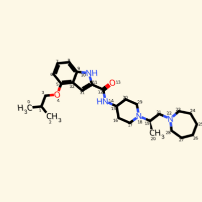 CC(C)COc1cccc2[nH]c(C(=O)NC3CCN([C@H](C)CN4CCCCCC4)CC3)cc12